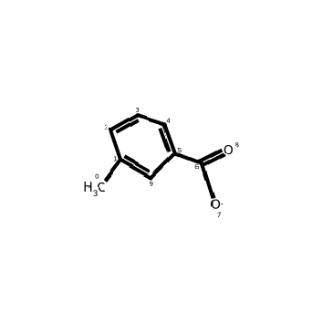 Cc1cccc(C([O])=O)c1